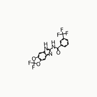 O=C(Nc1nc2cc3c(cc2[nH]1)OC(F)(F)O3)c1cccc(C(F)(F)F)c1